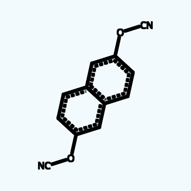 N#COc1ccc2cc(OC#N)ccc2c1